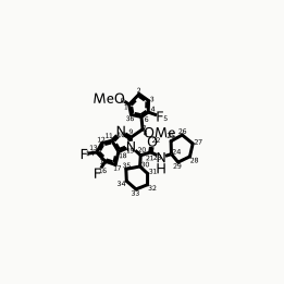 COc1ccc(F)c(C(OC)c2nc3cc(F)c(F)cc3n2C(C(=O)NC2CCCCC2)C2CCCCC2)c1